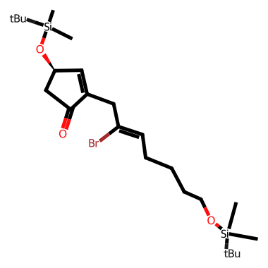 CC(C)(C)[Si](C)(C)OCCCC/C=C(\Br)CC1=C[C@H](O[Si](C)(C)C(C)(C)C)CC1=O